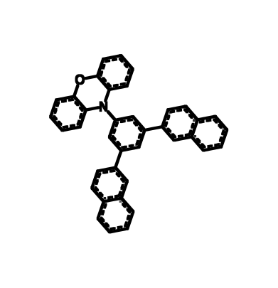 c1ccc2c(c1)Oc1ccccc1N2c1cc(-c2ccc3ccccc3c2)cc(-c2ccc3ccccc3c2)c1